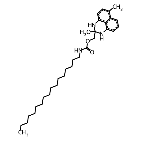 CCCCCCCCCCCCCCCCCNC(=O)OCC1(C)Nc2cccc3c(C)ccc(c23)N1